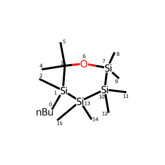 CCCC[Si]1(C)C(C)(C)O[Si](C)(C)[Si](C)(C)[Si]1(C)C